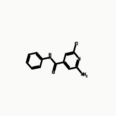 Nc1cc(C(=O)Nc2ccccc2)cc(Cl)n1